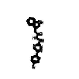 O=C(Cc1c[nH]c2ccccc12)NNc1ncc(-c2ccc(Br)cc2)nn1